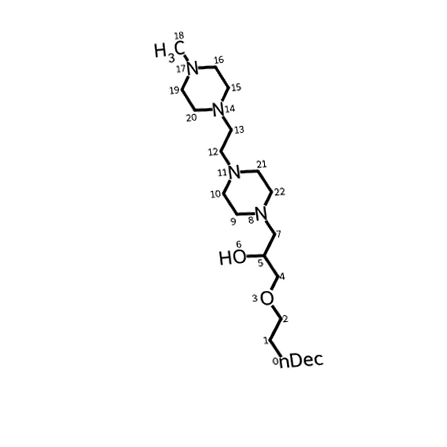 CCCCCCCCCCCCOCC(O)CN1CCN(CCN2CCN(C)CC2)CC1